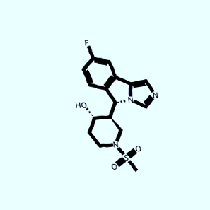 CS(=O)(=O)N1CC[C@H](O)[C@@H]([C@@H]2c3ccc(F)cc3-c3cncn32)C1